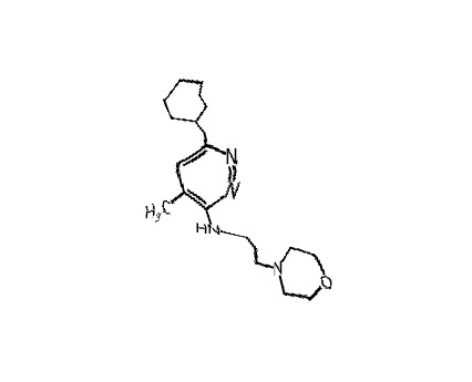 Cc1cc(C2CCCCC2)nnc1NCCN1CCOCC1